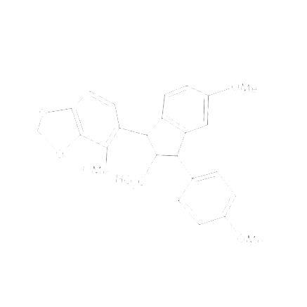 COc1ccc(C2c3cc(OC)ccc3C(c3ccc4c(c3OC)OCO4)C2C(=O)O)cc1